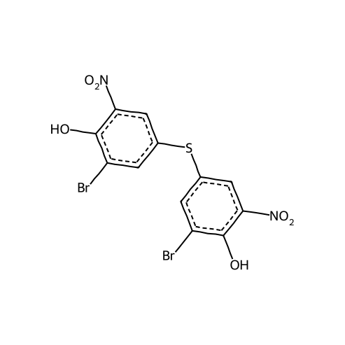 O=[N+]([O-])c1cc(Sc2cc(Br)c(O)c([N+](=O)[O-])c2)cc(Br)c1O